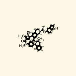 Cc1c(C(=O)N(C)c2ccccc2)cc(-c2cc3c(cc2C(=O)N2Cc4ccccc4C[C@H]2C)CN(C(=O)Oc2cnc4[nH]ccc4c2)CC3)n1C